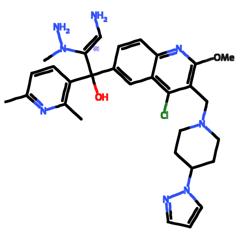 COc1nc2ccc(C(O)(/C(=C/N)N(C)N)c3ccc(C)nc3C)cc2c(Cl)c1CN1CCC(n2cccn2)CC1